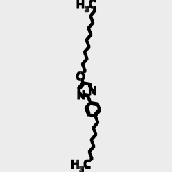 CCCCCCCCCCCCOc1cnc(-c2ccc(CCCCCCCC)cc2)nc1